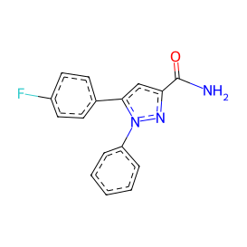 NC(=O)c1cc(-c2ccc(F)cc2)n(-c2ccccc2)n1